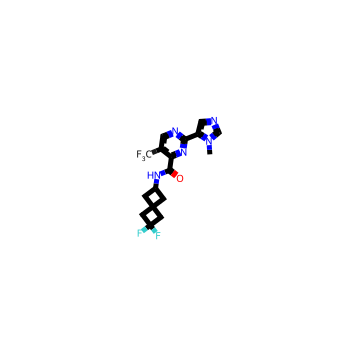 Cn1cncc1-c1ncc(C(F)(F)F)c(C(=O)NC2CC3(C2)CC(F)(F)C3)n1